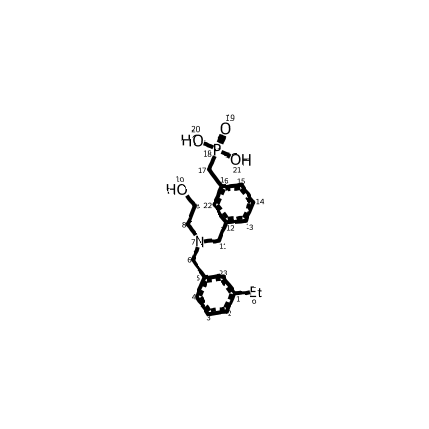 CCc1cccc(CN(CCO)Cc2cccc(CP(=O)(O)O)c2)c1